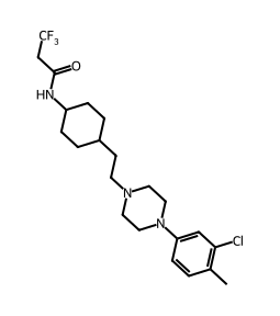 Cc1ccc(N2CCN(CCC3CCC(NC(=O)CC(F)(F)F)CC3)CC2)cc1Cl